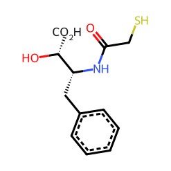 O=C(CS)N[C@H](Cc1ccccc1)[C@H](O)C(=O)O